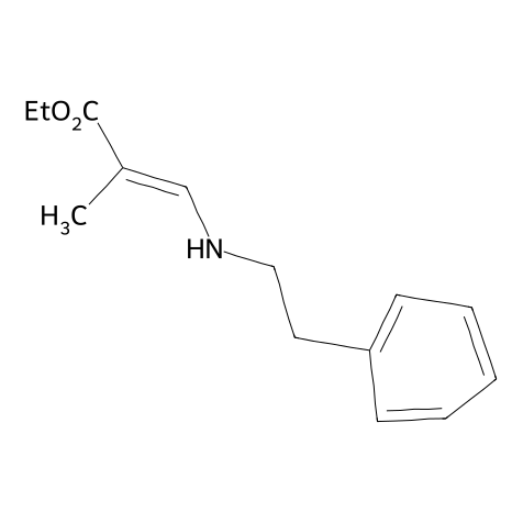 CCOC(=O)/C(C)=C/NCCc1ccccc1